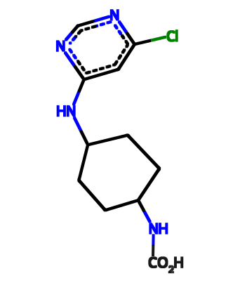 O=C(O)NC1CCC(Nc2cc(Cl)ncn2)CC1